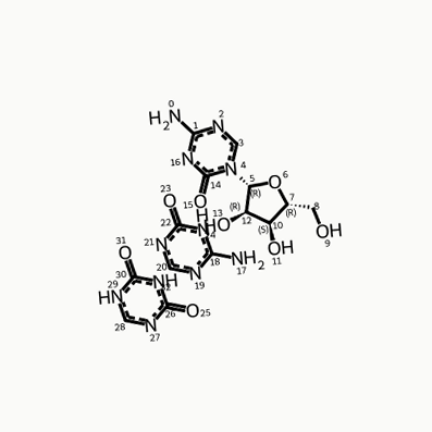 Nc1ncn([C@@H]2O[C@H](CO)[C@@H](O)[C@H]2O)c(=O)n1.Nc1ncnc(=O)[nH]1.O=c1nc[nH]c(=O)[nH]1